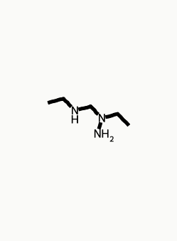 CCNCN(N)CC